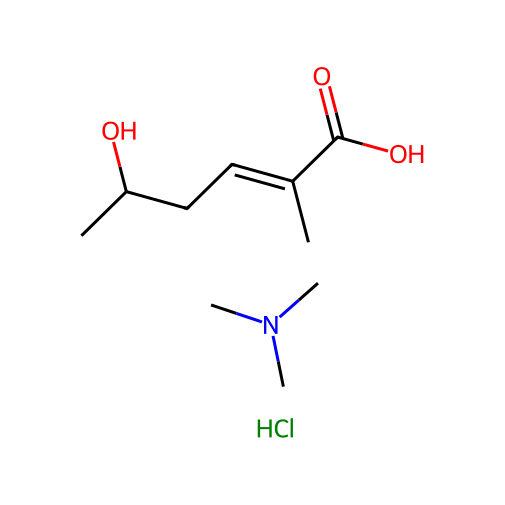 C/C(=C\CC(C)O)C(=O)O.CN(C)C.Cl